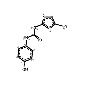 CC(C)c1cnc(NC(=O)Nc2ccc(O)cc2)s1